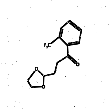 O=C(CCC1OCCO1)c1ccccc1C(F)(F)F